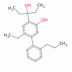 CCCc1ccccc1-c1cc(O)c(C(O)(CC)CC)cc1CC